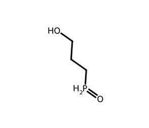 O=[PH2]CCCO